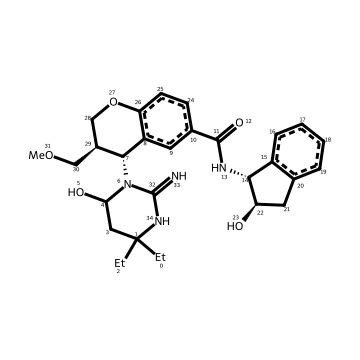 CCC1(CC)CC(O)N([C@H]2c3cc(C(=O)N[C@@H]4c5ccccc5C[C@H]4O)ccc3OC[C@@H]2COC)C(=N)N1